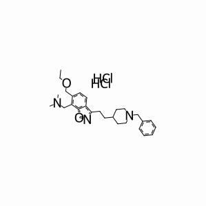 CCOCc1ccc2c(CCC3CCN(Cc4ccccc4)CC3)noc2c1CN(C)C.Cl.Cl